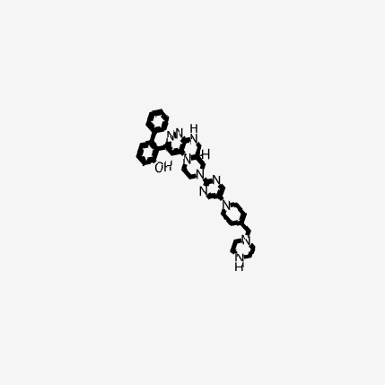 Oc1cccc(-c2ccccc2)c1-c1cc2c(nn1)NC[C@H]1CN(c3ncc(N4CCC(CN5CCNCC5)CC4)cn3)CCN21